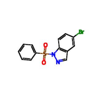 O=S(=O)(c1ccccc1)n1ncc2cc(Br)ccc21